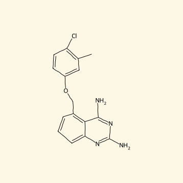 Cc1cc(OCc2cccc3nc(N)nc(N)c23)ccc1Cl